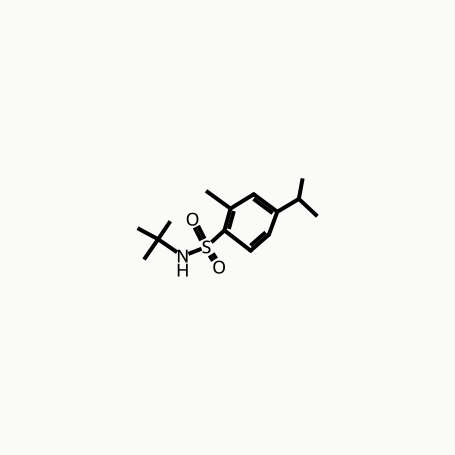 Cc1cc(C(C)C)ccc1S(=O)(=O)NC(C)(C)C